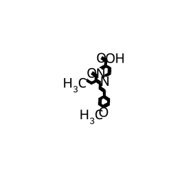 CCCc1c(/C=C/c2ccc(OC)cc2)nc2ccc(C(=O)O)cn2c1=O